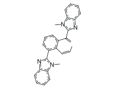 C=C(c1cccc(-c2nc3ccccc3n2C)c1/C=C\C)c1nc2ccccc2n1C